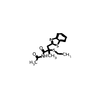 CCSC(C)(Cc1nc2ccccc2s1)C(=O)NC(C)=O